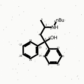 CCCCNC(C)CC(O)(c1ccccc1)c1ccccc1